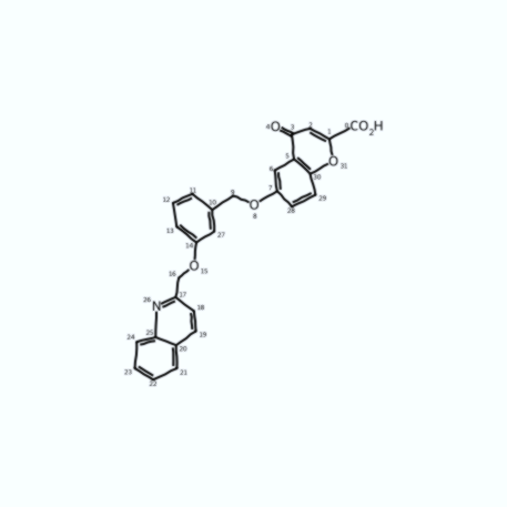 O=C(O)c1cc(=O)c2cc(OCc3cccc(OCc4ccc5ccccc5n4)c3)ccc2o1